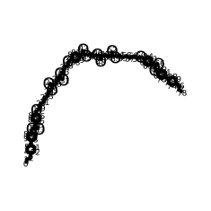 CCCC1CCC(c2ccc(OC(=O)c3ccc(OCCCCCCOC(=O)CCC(=O)OCCCOc4ccc(C(=O)OCCOC(=O)CCC(=O)OCCCCCCOc5ccc(C(=O)Oc6ccc(C7CCC(CCC)CC7)cc6)cc5)cc4)cc3)cc2)CC1